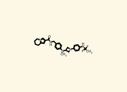 CN(c1ccc(CNC(=O)c2cc3n(c2)CCCC3)cc1)C1CN(c2ccc(NC(C)(F)F)cc2)C1